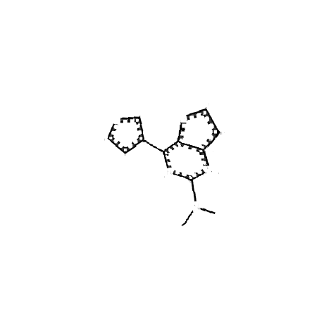 CN(C)c1nc(-c2ccoc2)c2sccc2n1